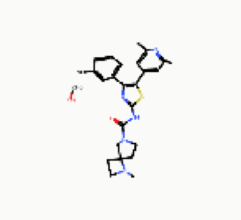 Cc1cc(-c2sc(NC(=O)N3CCC4(CCN4C)C3)nc2-c2cccc(C#N)c2)cc(C)n1.O=CO